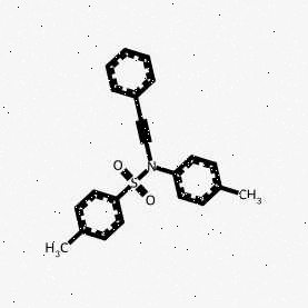 Cc1ccc(N(C#Cc2ccccc2)S(=O)(=O)c2ccc(C)cc2)cc1